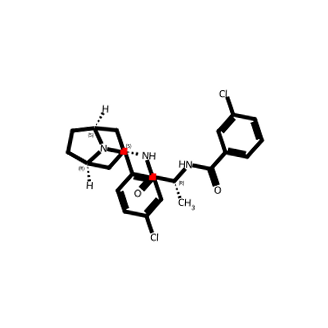 C[C@@H](NC(=O)c1cccc(Cl)c1)C(=O)N[C@@H]1C[C@H]2CC[C@@H](C1)N2Cc1ccc(Cl)cc1